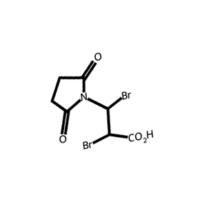 O=C(O)C(Br)C(Br)N1C(=O)CCC1=O